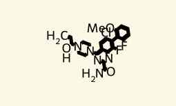 C=CC(O)N1CCN(c2nc(C(N)=O)nc3c(F)c(-c4c(F)cccc4OC)c(Cl)cc23)CC1